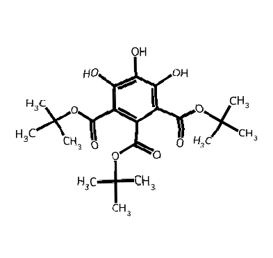 CC(C)(C)OC(=O)c1c(O)c(O)c(O)c(C(=O)OC(C)(C)C)c1C(=O)OC(C)(C)C